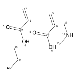 C=CC(=O)O.C=CC(=O)O.CCC.CNC